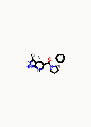 Cc1n[nH]c2ncc(C(=O)N3CCC[C@H]3c3ccccc3)cc12